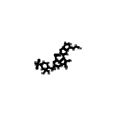 [2H]c1c(F)c(-c2ccc3nnn(CCF)c3c2)c2c(OC)nc(N[C@@H]3CCN(S(C)(=O)=O)CC3(F)F)nn12